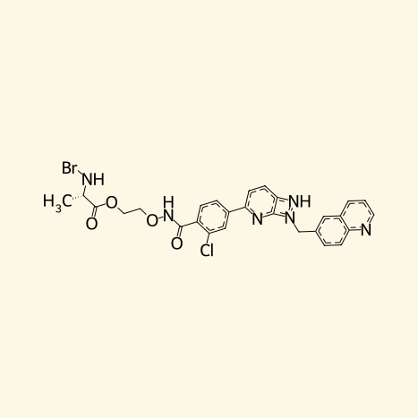 C[C@H](NBr)C(=O)OCCONC(=O)c1ccc(-c2ccc3[nH]n(Cc4ccc5ncccc5c4)c3n2)cc1Cl